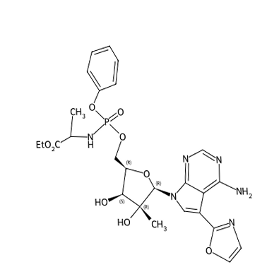 CCOC(=O)C(C)NP(=O)(OC[C@H]1O[C@@H](n2cc(-c3ncco3)c3c(N)ncnc32)[C@](C)(O)[C@H]1O)Oc1ccccc1